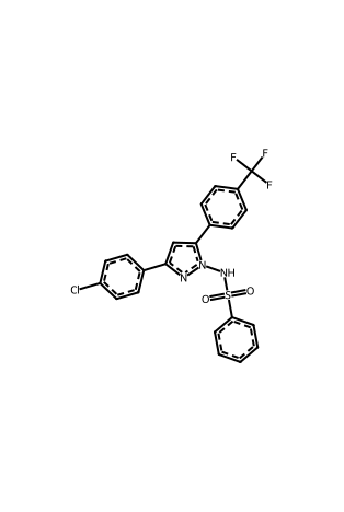 O=S(=O)(Nn1nc(-c2ccc(Cl)cc2)cc1-c1ccc(C(F)(F)F)cc1)c1ccccc1